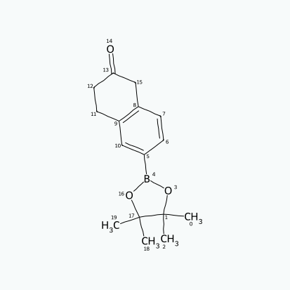 CC1(C)OB(c2ccc3c(c2)CCC(=O)C3)OC1(C)C